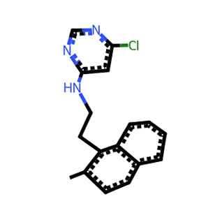 Cc1ccc2ccccc2c1CCNc1cc(Cl)ncn1